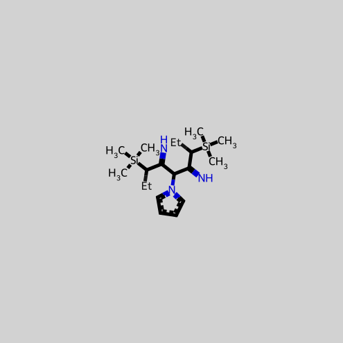 CCC(C(=N)C(C(=N)C(CC)[Si](C)(C)C)n1cccc1)[Si](C)(C)C